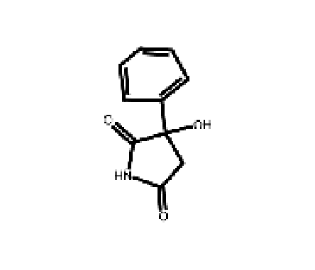 O=C1CC(O)(c2ccccc2)C(=O)N1